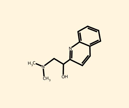 CN(C)CC(O)c1ccc2ccccc2n1